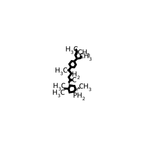 C=C(CCC(C)C1CCC(C(C=C(C)C)CC)CC1)C[C@@H]1C[C@H](CC)C(P)CC1C(C)C